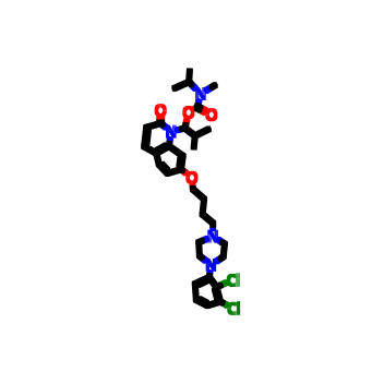 CC(C)C(OC(=O)N(C)C(C)C)n1c(=O)ccc2ccc(OCCCCN3CCN(c4cccc(Cl)c4Cl)CC3)cc21